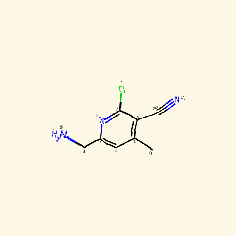 Cc1cc(CN)nc(Cl)c1C#N